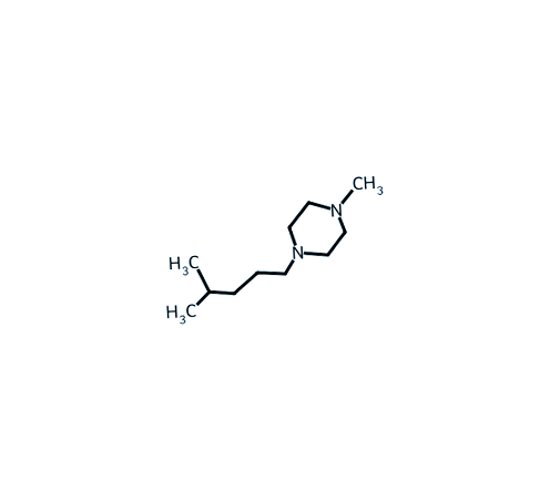 CC(C)CCCN1CCN(C)CC1